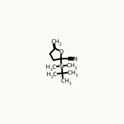 C=C1CCC(C#N)([Si](C)(C)C(C)(C)C)O1